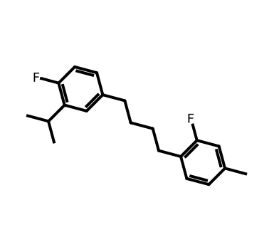 Cc1ccc(CCCCc2ccc(F)c(C(C)C)c2)c(F)c1